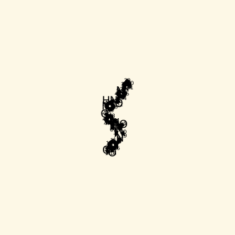 Cn1c(C(=O)N2CCN(Cc3ccc4c(c3)OCO4)CC2)cc2cc(Oc3ccc(NC(=O)c4ccc(-n5cccc5)nc4)cn3)ccc21